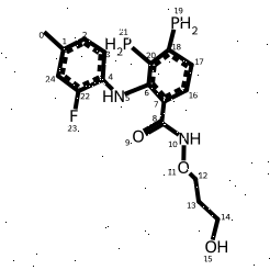 Cc1ccc(Nc2c(C(=O)NOCCCO)ccc(P)c2P)c(F)c1